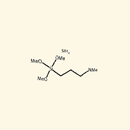 CNCCC[Si](OC)(OC)OC.[SiH4]